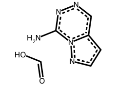 Nc1nncc2ccnn12.O=CO